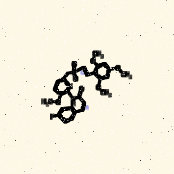 COc1cc(OC)c(/C=C/S(=O)(=O)Cc2ccc(OC)c(NC(=O)/C=C\c3ccc(F)cc3)n2)c(OC)c1